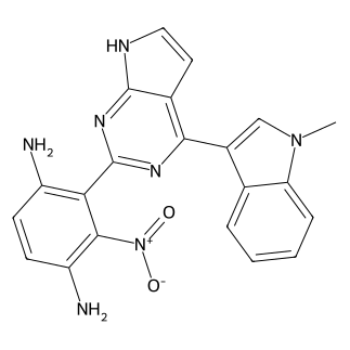 Cn1cc(-c2nc(-c3c(N)ccc(N)c3[N+](=O)[O-])nc3[nH]ccc23)c2ccccc21